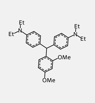 CCN(CC)c1ccc(C(c2ccc(N(CC)CC)cc2)c2ccc(OC)cc2OC)cc1